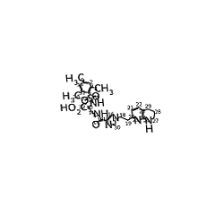 Cc1cc(C)c(S(=O)(=O)NC(CNC(=O)c2cn(CCc3ccc4c(n3)NCCC4)cn2)C(=O)O)c(C)c1